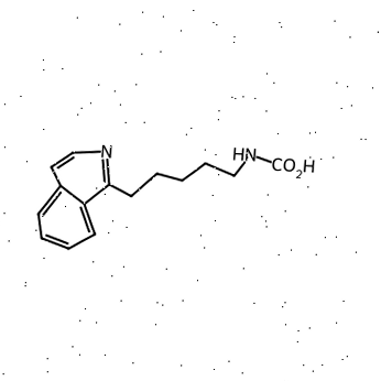 O=C(O)NCCCCCc1nccc2ccccc12